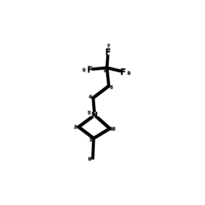 CC1CN(CCC(F)(F)F)C1